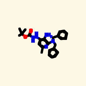 Cc1cc(NNC(=O)OC(C)(C)C)c(N)c(N(Cc2ccccc2)Cc2ccccc2)n1